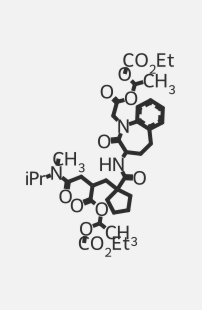 CCOC(=O)OC(C)OC(=O)CN1C(=O)C(NC(=O)C2(CC(CC(=O)N(C)C(C)C)C(=O)OC(C)OC(=O)OCC)CCCC2)CCc2ccccc21